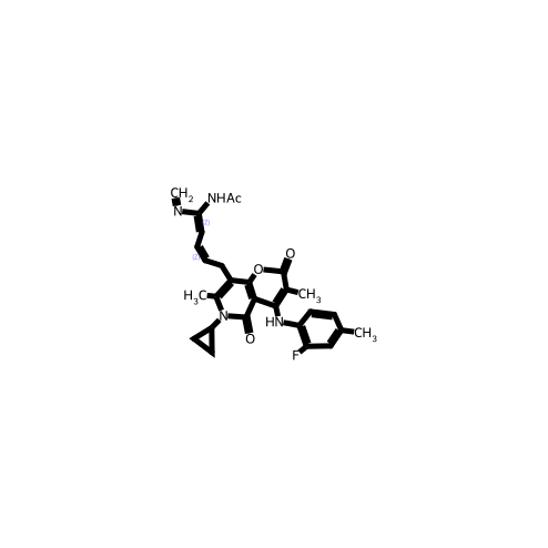 C=N/C(=C\C=C/Cc1c(C)n(C2CC2)c(=O)c2c(Nc3ccc(C)cc3F)c(C)c(=O)oc12)NC(C)=O